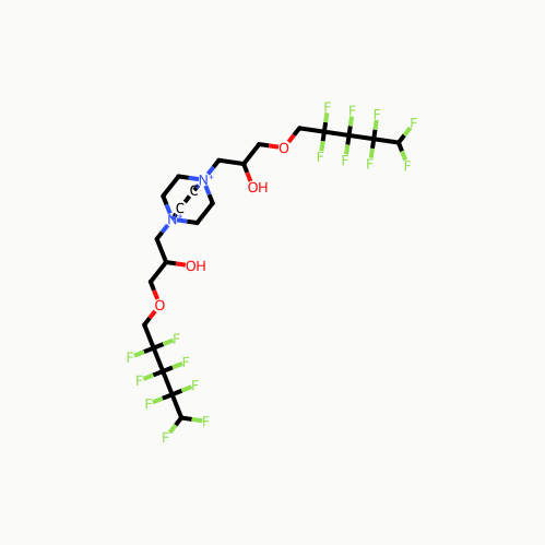 OC(COCC(F)(F)C(F)(F)C(F)(F)C(F)F)C[N+]12CC[N+](CC(O)COCC(F)(F)C(F)(F)C(F)(F)C(F)F)(CC1)CC2